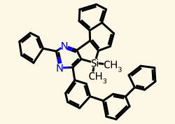 C[Si]1(C)c2ccc3ccccc3c2-c2nc(-c3ccccc3)nc(-c3cccc(-c4cccc(-c5ccccc5)c4)c3)c21